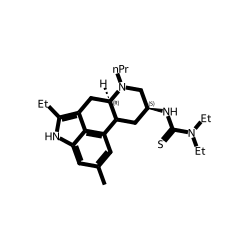 CCCN1C[C@@H](NC(=S)N(CC)CC)CC2c3cc(C)cc4[nH]c(CC)c(c34)C[C@H]21